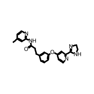 Cc1ccnc(NC(=O)CCc2cccc(Oc3ccnc(C4=NCCN4)c3)c2)c1